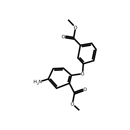 COC(=O)c1cccc(Oc2ccc(N)cc2C(=O)OC)c1